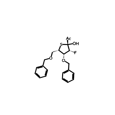 CC(=O)[C@]1(O)S[C@@H](COCc2ccccc2)[C@@H](OCc2ccccc2)[C@H]1F